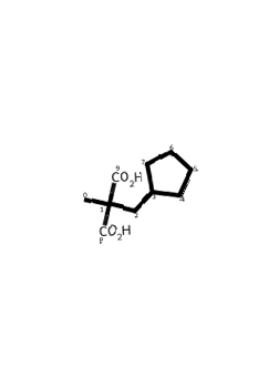 CC(CC1CCCC1)(C(=O)O)C(=O)O